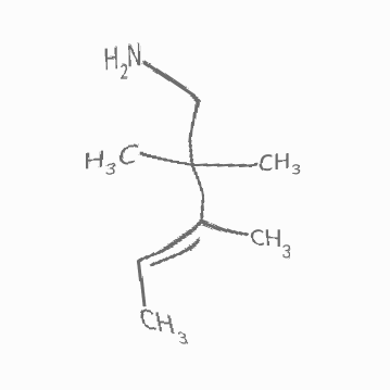 C/C=C(\C)C(C)(C)CN